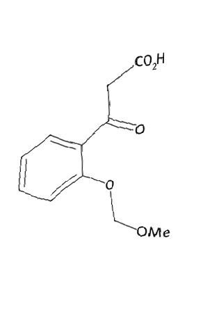 COCOc1ccccc1C(=O)CC(=O)O